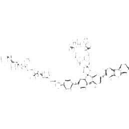 COCCOCCCC1(CCCOCCOC)c2cc(-c3ccc(OCCCCNC(=O)CCC(=O)NCCN)cc3)ccc2-c2ccc(-c3ccc4c(c3)Cc3ccccc3-4)cc21